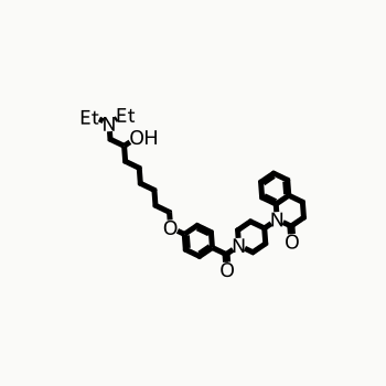 CCN(CC)CC(O)CCCCCCOc1ccc(C(=O)N2CCC(N3C(=O)CCc4ccccc43)CC2)cc1